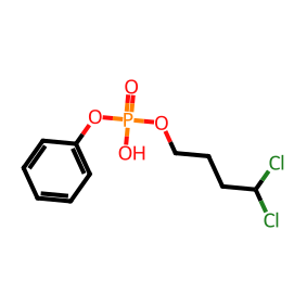 O=P(O)(OCCCC(Cl)Cl)Oc1ccccc1